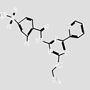 CS(=O)(=O)c1ccc(C(=O)Nc2nc(NCC(F)(F)F)nc(-c3ccccn3)n2)c(Cl)c1